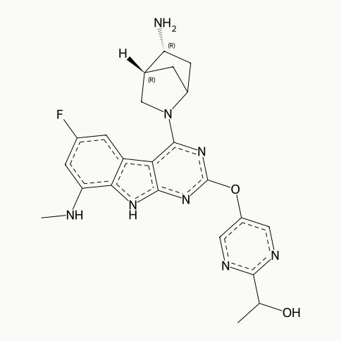 CNc1cc(F)cc2c1[nH]c1nc(Oc3cnc(C(C)O)nc3)nc(N3C[C@H]4CC3C[C@H]4N)c12